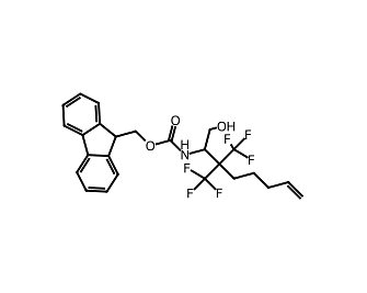 C=CCCCC(C(CO)NC(=O)OCC1c2ccccc2-c2ccccc21)(C(F)(F)F)C(F)(F)F